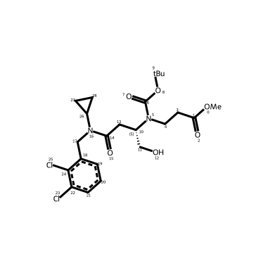 COC(=O)CCN(C(=O)OC(C)(C)C)[C@H](CO)CC(=O)N(Cc1cccc(Cl)c1Cl)C1CC1